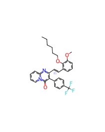 CCCCCCOc1c(/C=C/c2nc3ccccn3c(=O)c2-c2ccc(C(F)(F)F)cc2)cccc1OC